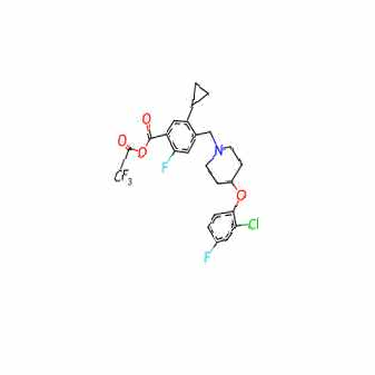 O=C(OC(=O)C(F)(F)F)c1cc(C2CC2)c(CN2CCC(Oc3ccc(F)cc3Cl)CC2)cc1F